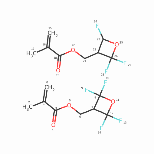 C=C(C)C(=O)OCC1C(F)(F)OC1(F)F.C=C(C)C(=O)OCC1C(F)OC1(F)F